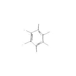 Cc1c(O)c(Br)c(Br)c(Br)c1Br